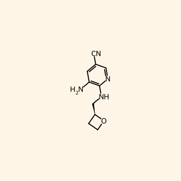 N#Cc1cnc(NC[C@@H]2CCO2)c(N)c1